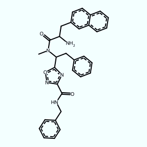 CN(C(=O)C(N)Cc1ccc2ccccc2c1)C(Cc1ccccc1)c1nc(C(=O)NCc2ccccc2)no1